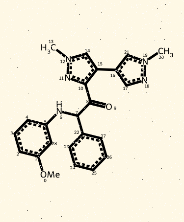 COc1cccc(NC(C(=O)c2nn(C)cc2-c2cnn(C)c2)c2ccccc2)c1